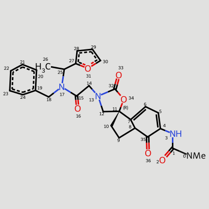 CNC(=O)NC1=CC=C2C(CC[C@]23CN(CC(=O)N(Cc2ccccc2)C(C)c2ccco2)C(=O)O3)C1=O